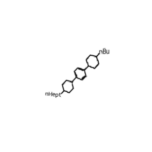 CCCCCCCC1CCC(c2ccc(C3CCC(CCCC)CC3)cc2)CC1